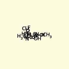 CN1CC=C(c2cc(C3(O)CC4CC(c5ncn(C)c5C(=O)Nc5ccc(F)c(Cl)c5)CC4C3)n(C)n2)CC1